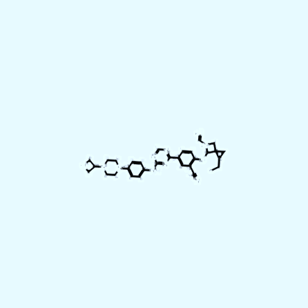 CCC1CC12CN(C=O)C2Oc1ccc(-c2ncnc(Nc3ccc(N4CCN(C5COC5)CC4)cc3)n2)cc1C#N